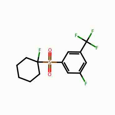 O=S(=O)(c1cc(F)cc(C(F)(F)F)c1)C1(F)CCCCC1